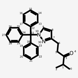 CC(C)C(=O)CCc1ccn(C(c2ccccc2)(c2ccccc2)c2ccccc2)n1